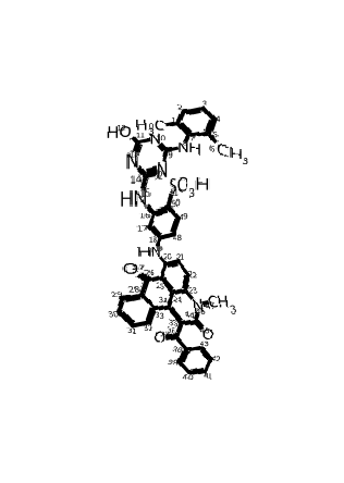 Cc1cccc(C)c1Nc1nc(O)nc(Nc2cc(Nc3ccc4c5c3C(=O)c3ccccc3-c5c(C(=O)c3ccccc3)c(=O)n4C)ccc2S(=O)(=O)O)n1